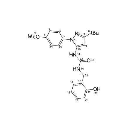 COc1ccc(-n2nc(C(C)(C)C)cc2NC(=O)NCc2ccccc2O)cc1